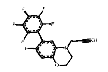 C#CCN1CCOc2cc(F)c(-c3c(F)c(F)c(F)c(F)c3F)cc21